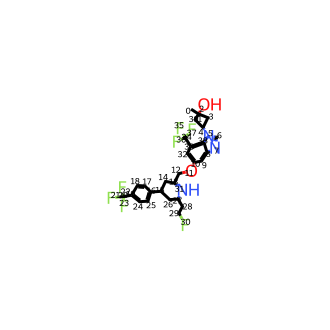 CC1(O)CC(n2cnc3cc(OCC4CC(c5ccc(C(F)(F)F)cc5)CC(CCF)N4)cc(C(F)(F)F)c32)C1